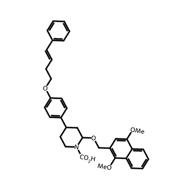 COc1cc(COC2CC(c3ccc(OCC/C=C/c4ccccc4)cc3)CCN2C(=O)O)c(OC)c2ccccc12